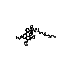 Cc1c([C@@H]2CN(C)Cc3c(Cl)cc(Cl)cc32)cccc1S(=O)(=O)NCCOCCOCCN